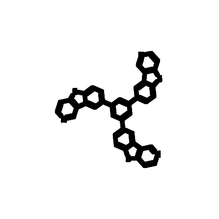 c1cc2sc3ccc(-c4cc(-c5ccc6sc7ccncc7c6c5)cc(-c5ccc6sc7ccncc7c6c5)c4)cc3c2cn1